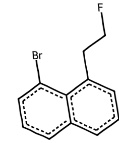 FCCc1cccc2cccc(Br)c12